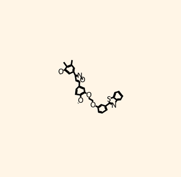 COc1ccc(-c2cc(-c3cc(C)c(C)c(OC)c3)no2)cc1OCCOc1cccc(-c2nc3ccccc3s2)c1